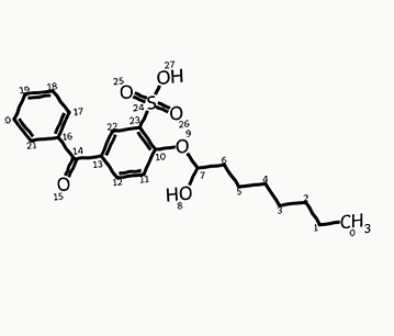 CCCCCCCC(O)Oc1ccc(C(=O)c2ccccc2)cc1S(=O)(=O)O